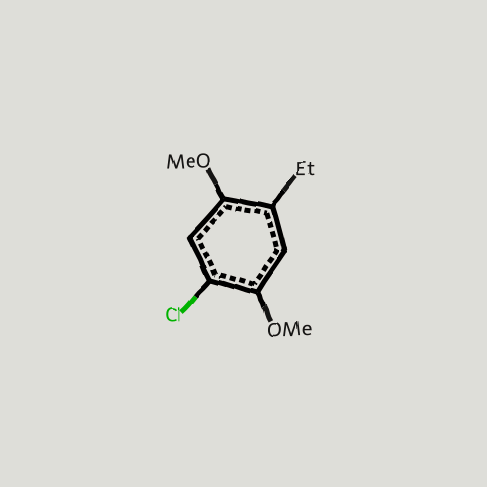 CCc1cc(OC)c(Cl)cc1OC